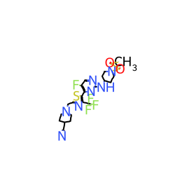 CS(=O)(=O)N1CCC(Nc2ncc(F)c(-c3sc(CN4CCC(C#N)CC4)nc3C(F)(F)F)n2)CC1